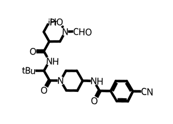 CC(C)CC(CN(O)C=O)C(=O)NC(C(=O)N1CCC(NC(=O)c2ccc(C#N)cc2)CC1)C(C)(C)C